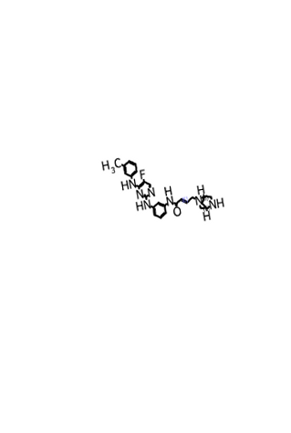 Cc1cccc(Nc2nc(Nc3cccc(NC(=O)/C=C/CN4C[C@@H]5C[C@H]4CN5)c3)ncc2F)c1